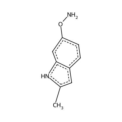 Cc1cc2ccc(ON)cc2[nH]1